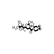 CC(C)NC(CCCCC(C)(C)C)C(=O)N1CCS(=O)(=O)CC1